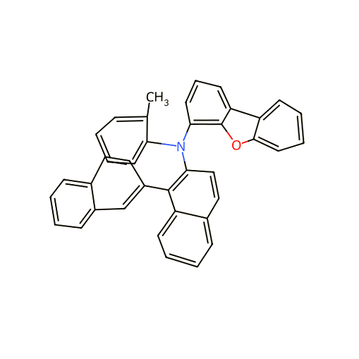 Cc1ccccc1N(c1ccc2ccccc2c1-c1ccc2ccccc2c1)c1cccc2c1oc1ccccc12